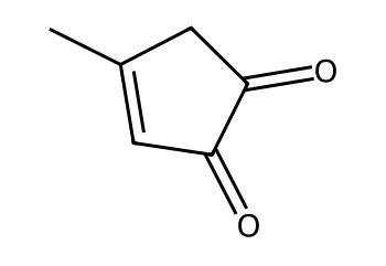 CC1=CC(=O)C(=O)C1